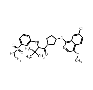 CNS(=O)(=O)c1cccc(NC(C(=O)N2CC[C@@H](Oc3ncc(OC)c4ccc(Cl)cc34)C2)C(C)(C)C)c1